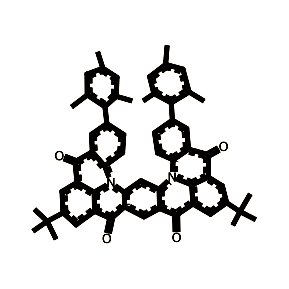 Cc1cc(C)c(-c2ccc3c(c2)c(=O)c2cc(C(C)(C)C)cc4c(=O)c5cc6c(=O)c7cc(C(C)(C)C)cc8c(=O)c9cc(-c%10c(C)cc(C)cc%10C)ccc9n(c6cc5n3c24)c87)c(C)c1